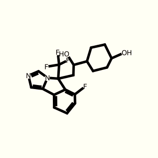 OC1CCC(C(O)CC2(C(F)(F)F)c3c(F)cccc3-c3cncn32)CC1